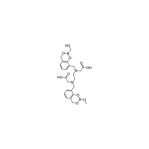 COB1OCc2cccc(CN(CCN(CC(=O)O)Cc3cccc4c3OB(CO)OC4)CC(=O)O)c2O1